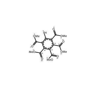 COC(=O)c1c(S)c(C(=O)OC)c(C(=O)OC)c(C(=O)OC)c1C(=O)OC